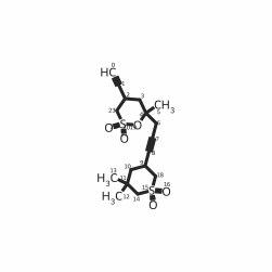 C#CC1CC(C)(CC#CC2CC(C)(C)CS(=O)(=O)C2)OS(=O)(=O)C1